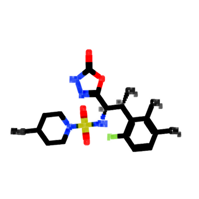 COC1CCN(S(=O)(=O)N[C@H](c2n[nH]c(=O)o2)[C@H](C)c2c(F)ccc(C)c2C)CC1